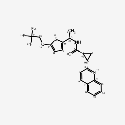 C[C@@H](NC(=O)[C@H]1C[C@@H]1c1ccc2ccccc2n1)c1ccc(OCC(F)(F)F)s1